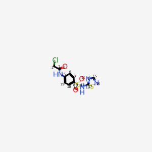 O=C(CCl)Nc1ccc(S(=O)(=O)Nc2ncns2)cc1